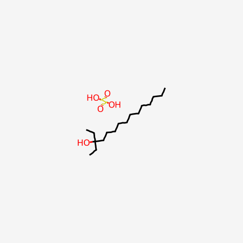 CCCCCCCCCCCCC(O)(CC)CC.O=S(=O)(O)O